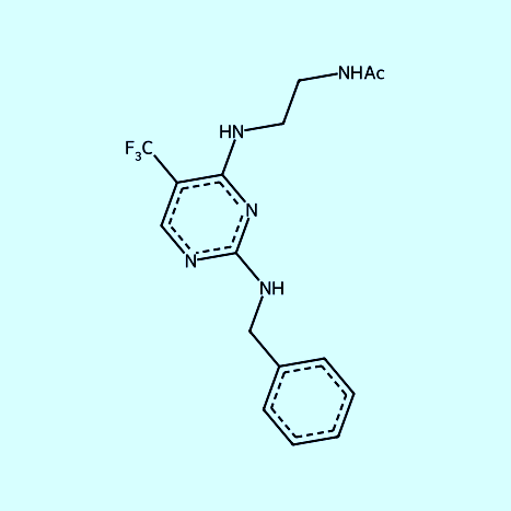 CC(=O)NCCNc1nc(NCc2ccccc2)ncc1C(F)(F)F